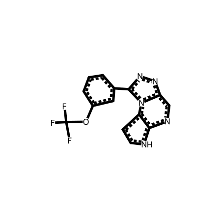 FC(F)(F)Oc1cccc(-c2nnc3cnc4[nH]ccc4n23)c1